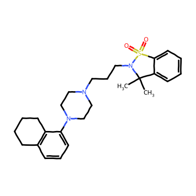 CC1(C)c2ccccc2S(=O)(=O)N1CCCN1CCN(c2cccc3c2CCCC3)CC1